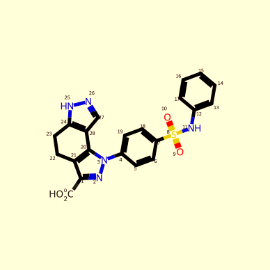 O=C(O)c1nn(-c2ccc(S(=O)(=O)Nc3ccccc3)cc2)c2c1CCc1[nH]ncc1-2